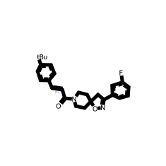 CC(C)(C)c1ccc(/C=C/C(=O)N2CCC3(CC2)CC(c2cccc(F)c2)=NO3)cc1